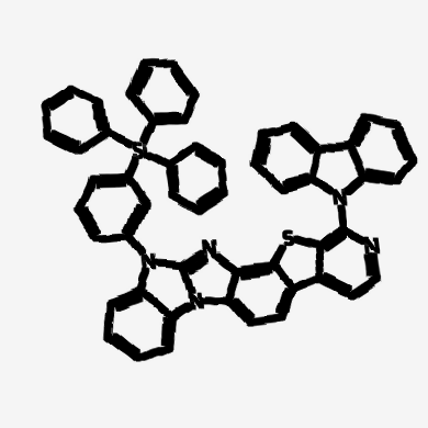 c1ccc([Si](c2ccccc2)(c2ccccc2)c2cccc(-n3c4ccccc4n4c5ccc6c7ccnc(-n8c9ccccc9c9ccccc98)c7sc6c5nc34)c2)cc1